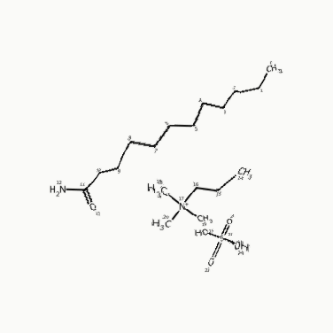 CCCCCCCCCCCC(N)=O.CCC[N+](C)(C)C.O=S(=O)(O)O